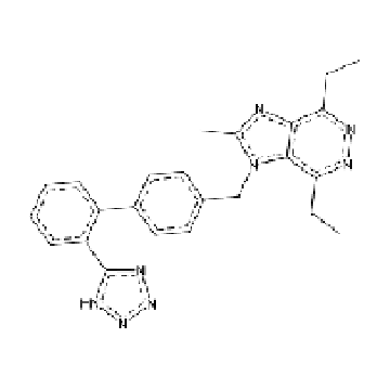 CCc1nnc(CC)c2c1nc(C)n2Cc1ccc(-c2ccccc2-c2nnn[nH]2)cc1